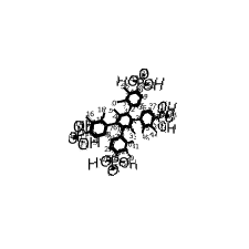 Cc1c(-c2c(C)c(-c3ccc(P(=O)(O)O)c(C)c3C)c(-c3ccc(P(=O)(O)O)c(C)c3C)c(C)c2-c2ccc(P(=O)(O)O)c(C)c2C)ccc(P(=O)(O)O)c1C